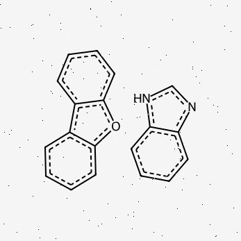 c1ccc2[nH]cnc2c1.c1ccc2c(c1)oc1ccccc12